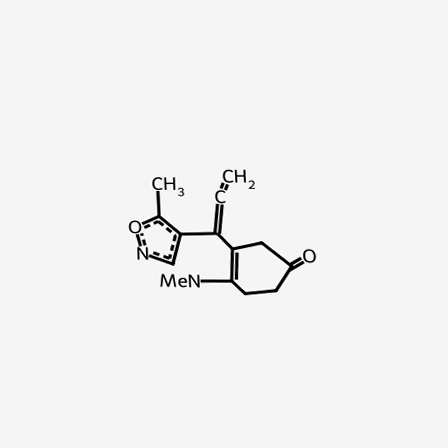 C=C=C(C1=C(NC)CCC(=O)C1)c1cnoc1C